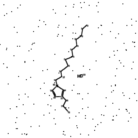 CCCCCCCCCCCCn1ccc(CCC)c1.Cl